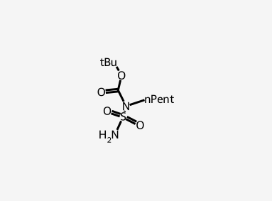 CCCCCN(C(=O)OC(C)(C)C)S(N)(=O)=O